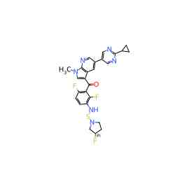 Cn1cc(C(=O)c2c(F)ccc(NSN3CC[C@@H](F)C3)c2F)c2cc(-c3cnc(C4CC4)nc3)cnc21